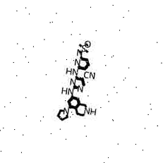 CS(C)(=O)=Nc1cccc(Nc2nc(Nc3cc4c(c(N5CCCC5)c3)CCNC4)ncc2C#N)n1